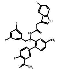 NC(=O)c1cc(-c2ccc(N)nc2[C@@H](Cc2cc(F)cc(F)c2)NC(=O)Cc2c[nH]c3ccc(F)cc23)ccc1F